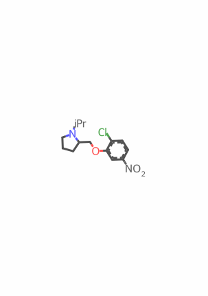 CC(C)N1CCCC1COc1cc([N+](=O)[O-])ccc1Cl